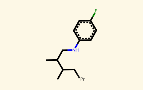 CC(C)CC(C)C(C)CNc1ccc(F)cc1